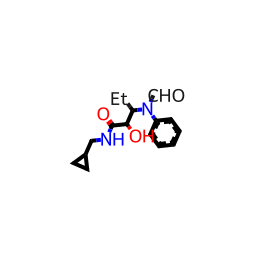 CCC(C(O)C(=O)NCC1CC1)N(C=O)c1ccccc1